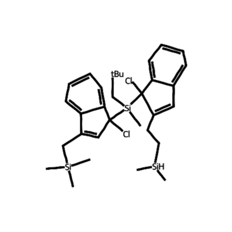 C[SiH](C)CCC1=Cc2ccccc2C1(Cl)[Si](C)(CC(C)(C)C)C1(Cl)C=C(C[Si](C)(C)C)c2ccccc21